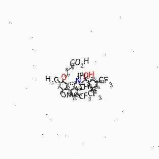 COc1cc(C)c(OCCCC(=O)O)cc1-c1ccc(C(F)(F)F)cc1CN(C(C)C)C(C)C(O)c1cc(C(F)(F)F)cc(C(F)(F)F)c1